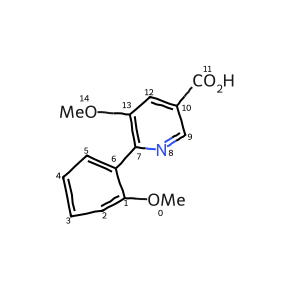 COc1ccccc1-c1ncc(C(=O)O)cc1OC